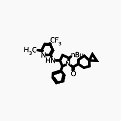 CCCCC1CC(Nc2cc(C(F)(F)F)cc(C)n2)C(c2ccccc2)N1C(=O)C1CCC2(CC1)CC2